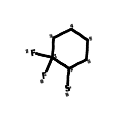 FC1(F)CCCCC1[S]